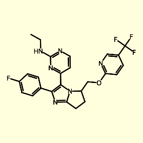 CCNc1nccc(-c2c(-c3ccc(F)cc3)nc3n2C(COc2ccc(C(F)(F)F)cn2)CC3)n1